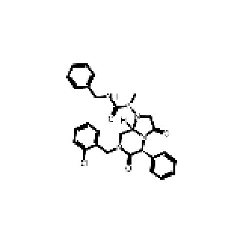 CN(C(=O)NCc1ccccc1)N1CC(=O)N2[C@@H](c3ccccc3)C(=O)N(Cc3ccccc3Cl)C[C@@H]21